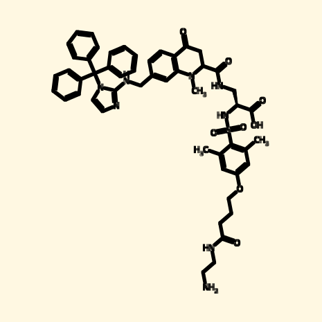 Cc1cc(OCCCC(=O)NCCN)cc(C)c1S(=O)(=O)N[C@@H](CNC(=O)C1CC(=O)c2ccc(CNc3nccn3C(c3ccccc3)(c3ccccc3)c3ccccc3)cc2N1C)C(=O)O